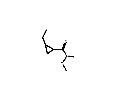 CCC1CC1C(=O)N(C)OC